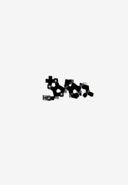 CN(C)/C=N\c1ncnc2c1ncn2[C@@H]1O[C@H](CO)C2OC(C)(C)OC21